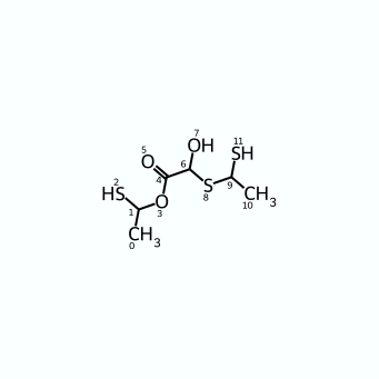 CC(S)OC(=O)C(O)SC(C)S